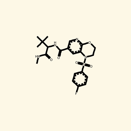 CNC(=O)C(NC(=O)c1cnc2c(c1)N(S(=O)(=O)c1ccc(F)cc1)CCO2)C(C)(C)C